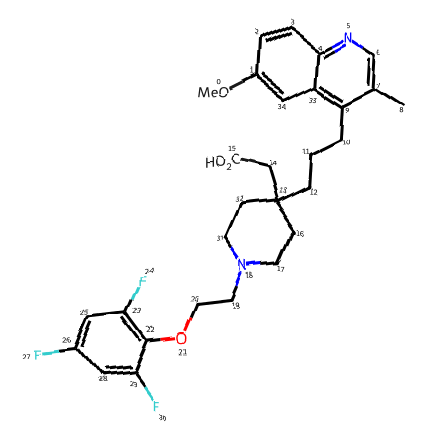 COc1ccc2ncc(C)c(CCCC3(CC(=O)O)CCN(CCOc4c(F)cc(F)cc4F)CC3)c2c1